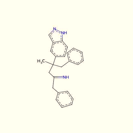 CC(CC(=N)Cc1ccccc1)(Cc1ccccc1)c1ccc2[nH]ncc2c1